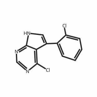 Clc1ccccc1-c1c[nH]c2ncnc(Cl)c12